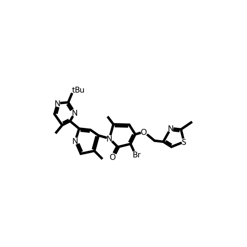 Cc1nc(COc2cc(C)n(-c3cc(-c4nc(C(C)(C)C)ncc4C)ncc3C)c(=O)c2Br)cs1